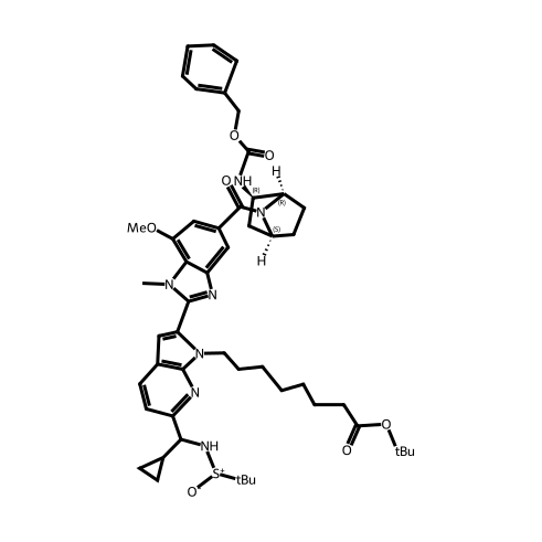 COc1cc(C(=O)N2[C@H]3CC[C@@H]2[C@H](NC(=O)OCc2ccccc2)C3)cc2nc(-c3cc4ccc(C(N[S+]([O-])C(C)(C)C)C5CC5)nc4n3CCCCCCCC(=O)OC(C)(C)C)n(C)c12